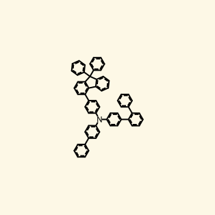 c1ccc(-c2ccc(N(c3ccc(-c4ccccc4-c4ccccc4)cc3)c3ccc(-c4cccc5c4-c4ccccc4C5(c4ccccc4)c4ccccc4)cc3)cc2)cc1